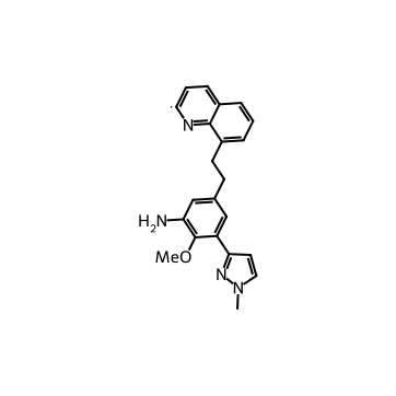 COc1c(N)cc(CCc2cccc3cc[c]nc23)cc1-c1ccn(C)n1